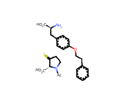 CC(=O)N1CCC(=S)[C@H]1C(=O)O.N[C@@H](Cc1ccc(OCCc2ccccc2)cc1)C(=O)O